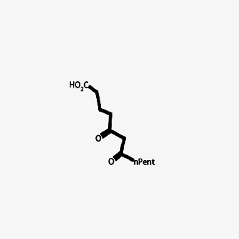 CCCCCC(=O)CC(=O)CCCC(=O)O